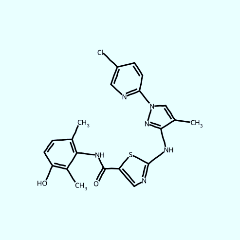 Cc1cn(-c2ccc(Cl)cn2)nc1Nc1ncc(C(=O)Nc2c(C)ccc(O)c2C)s1